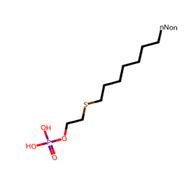 CCCCCCCCCCCCCCCCSCCOP(=O)(O)O